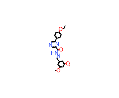 CCOc1ccc(-c2cncc(C(=O)N/N=C/c3cc(OC)cc(OC)c3)n2)cc1